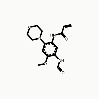 C=CC(=O)Nc1cc(NC=O)c(OC)cc1N1CCOCC1